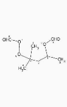 CC(CC(C)(C)OO[C]=O)O[C]=O